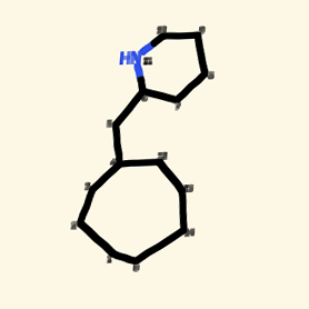 C1CCCC(CC2CCCCN2)CCC1